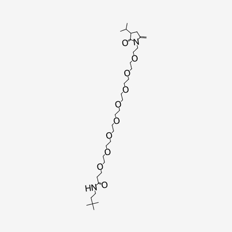 C=C1CC(C(C)C)C(=O)N1CCOCCOCCOCCOCCOCCOCCOCCOCCC(=O)NCCC(C)(C)C